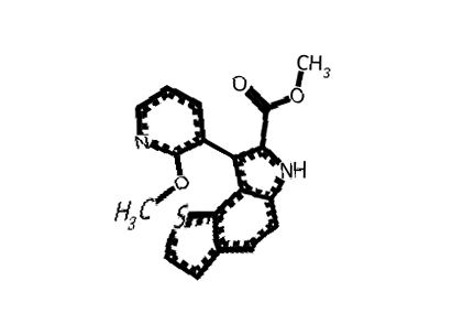 COC(=O)c1[nH]c2ccc3ccsc3c2c1-c1cccnc1OC